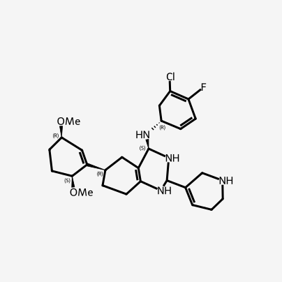 CO[C@H]1CC[C@@H](OC)C=C1[C@@H]1CCC2=C(C1)[C@@H](N[C@H]1C=CC(F)=C(Cl)C1)NC(C1=CCCNC1)N2